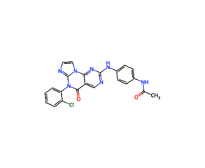 CC(=O)Nc1ccc(Nc2ncc3c(=O)n(-c4ccccc4Cl)c4nccn4c3n2)cc1